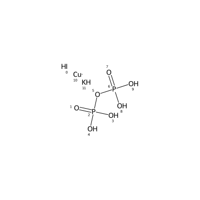 I.O=P(O)(O)OP(=O)(O)O.[Cu].[KH]